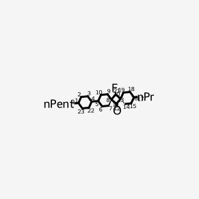 CCCCCC1CCC(C2CC[C@]3(CC2)C(=O)[C@@]2(CCC(CCC)CC2)[C@H]3F)CC1